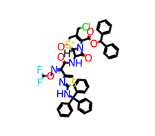 O=C(OC(c1ccccc1)c1ccccc1)C1=C(CCl)C[S+]([O-])[C@@H]2C(NC(=O)/C(=N/OC(F)F)c3csc(NC(c4ccccc4)(c4ccccc4)c4ccccc4)n3)C(=O)N12